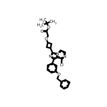 CC(C)(C)OC(=O)COC1CC(c2nc(-c3cccc(OCc4ccccc4)c3)c3c(Cl)nccn23)C1